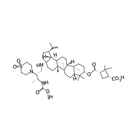 C=C(C)[C@@H]1CC[C@]2(NC[C@H]([C@@H](C)NC(=O)OC(C)C)N3CCS(=O)(=O)CC3)CC[C@]3(C)[C@H](CC[C@@H]4[C@@]5(C)CC[C@H](OC(=O)[C@H]6C[C@@H](C(=O)O)C6(C)C)C(C)(C)[C@@H]5CC[C@]43C)[C@@H]12